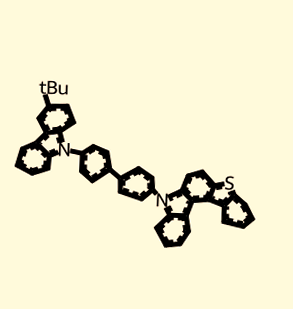 CC(C)(C)c1ccc2c(c1)c1ccccc1n2-c1ccc(-c2ccc(-n3c4ccccc4c4c5c(ccc43)sc3ccccc35)cc2)cc1